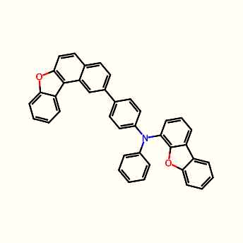 c1ccc(N(c2ccc(-c3ccc4ccc5oc6ccccc6c5c4c3)cc2)c2cccc3c2oc2ccccc23)cc1